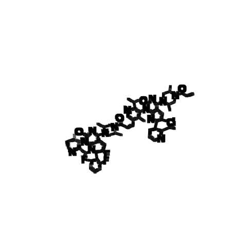 C=CC(=O)N1CC(C)N(c2nc(=O)n(-c3c(C(C)C)ncc(/C=C\C(=O)N4CC(C)N(c5nc(=O)n(-c6c(C)ccnc6C(C)C)c6nc(-c7c(F)cccc7F)c(F)cc56)CC4C)c3C)c3nc(-c4cccnc4C4CC4)c(Cl)cc23)CC1C